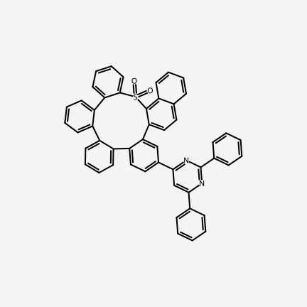 O=S1(=O)c2ccccc2-c2ccccc2-c2ccccc2-c2ccc(-c3cc(-c4ccccc4)nc(-c4ccccc4)n3)cc2-c2ccc3ccccc3c21